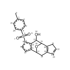 Cc1ccc(S(=O)(=O)n2ccc3c2C(O)C2OC3CC3=C2CC=N3)cc1